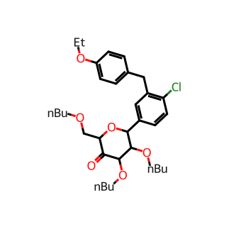 CCCCOCC1OC(c2ccc(Cl)c(Cc3ccc(OCC)cc3)c2)C(OCCCC)C(OCCCC)C1=O